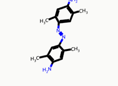 Cc1cc(N=Nc2cc(C)c(N)cc2C)c(C)cc1N